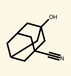 N#CC12CC3CC(CC(O)(C3)C1)C2